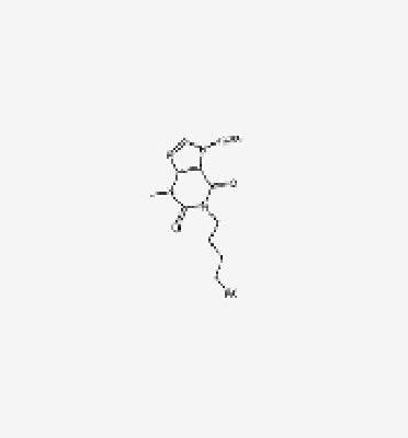 CCCCCCCCCCn1cnc2c1c(=O)n(CCCCC(C)=O)c(=O)n2C